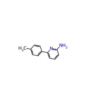 Cc1ccc(-c2cccc(N)n2)cc1